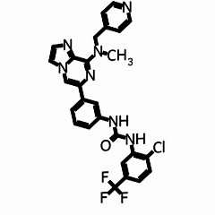 CN(Cc1ccncc1)c1nc(-c2cccc(NC(=O)Nc3cc(C(F)(F)F)ccc3Cl)c2)cn2ccnc12